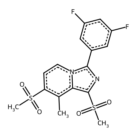 Cc1c(S(C)(=O)=O)ccn2c(-c3cc(F)cc(F)c3)nc(S(C)(=O)=O)c12